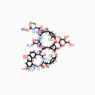 CC(C)C[C@@H](NC(=O)OC(C)(C)C)C(=O)N[C@H]1C(=O)N[C@@H](CC(N)=O)C(=O)N[C@H]2C(=O)N[C@H]3C(=O)N[C@H](C(=O)N[C@H](C(=O)O)c4cc(O)cc(O)c4-c4cc3ccc4O)[C@H](O)c3ccc(c(Cl)c3)Oc3cc2cc(c3OC2OC(CO)C(O)C(O)C2O)Oc2ccc(cc2Cl)[C@H]1O